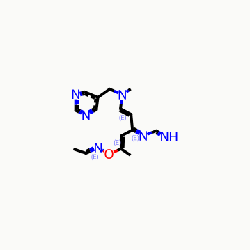 C/C=N/O/C(C)=C/C(/C=C/N(C)Cc1cncnc1)=N/C=N